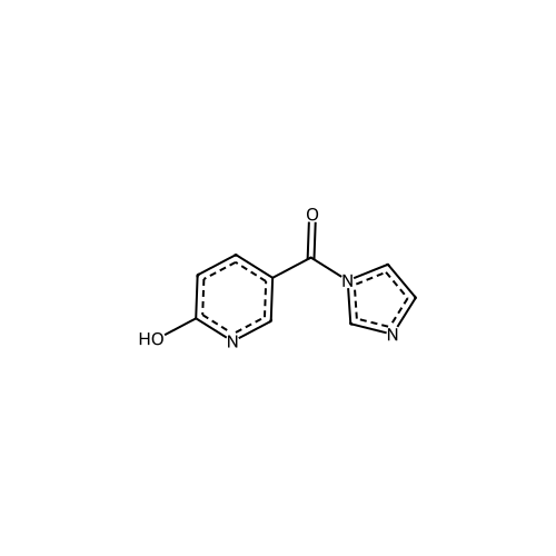 O=C(c1ccc(O)nc1)n1ccnc1